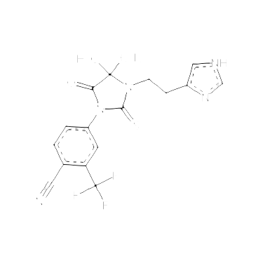 CC1(C)C(=O)N(c2ccc(C#N)c(C(F)(F)F)c2)C(=S)N1CCc1c[nH]cn1